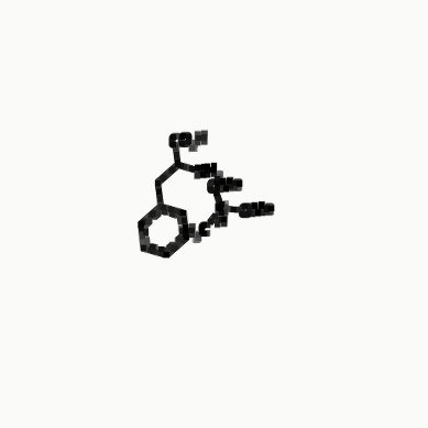 CO[SiH](C)OC.NC(Cc1ccccc1)C(=O)O